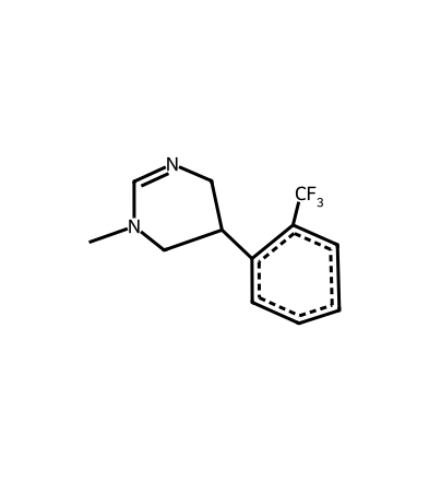 CN1C=NCC(c2ccccc2C(F)(F)F)C1